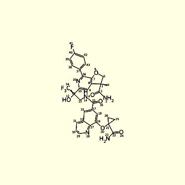 C[C@]1(C(N)=O)COc2c1cc([C@@](O)(CNC(=O)c1cc(OC3(C(N)=O)CC3)c3ncccc3c1)C(F)(F)F)nc2-c1ccc(F)cc1